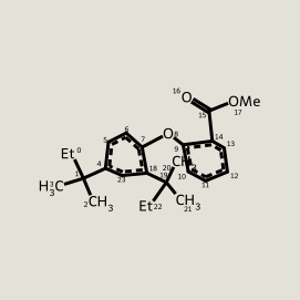 CCC(C)(C)c1ccc(Oc2ccccc2C(=O)OC)c(C(C)(C)CC)c1